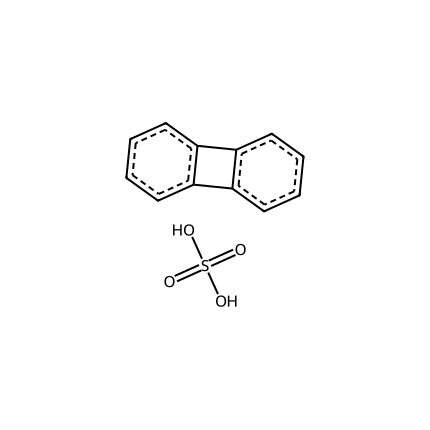 O=S(=O)(O)O.c1ccc2c(c1)-c1ccccc1-2